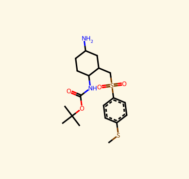 CSc1ccc(S(=O)(=O)CC2CC(N)CCC2NC(=O)OC(C)(C)C)cc1